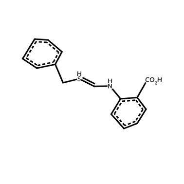 O=C(O)c1ccccc1NC=[SH]Cc1ccccc1